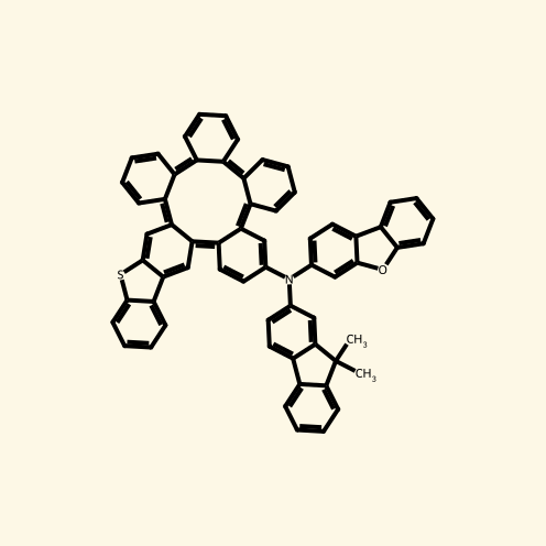 CC1(C)c2ccccc2-c2ccc(N(c3ccc4c(c3)oc3ccccc34)c3ccc4c(c3)c3ccccc3c3ccccc3c3ccccc3c3cc5sc6ccccc6c5cc43)cc21